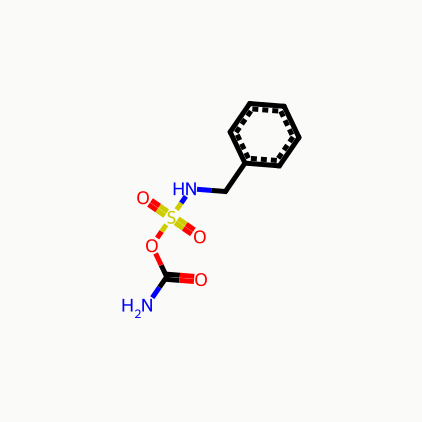 NC(=O)OS(=O)(=O)NCc1ccccc1